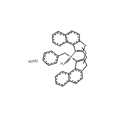 CCC1=[C]([Zr](=[SiH2])([CH2]c2ccccc2)[C]2=C(CC)Cc3ccc4ccccc4c32)c2c(ccc3ccccc23)C1.Cl.Cl